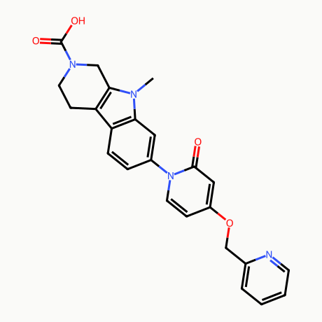 Cn1c2c(c3ccc(-n4ccc(OCc5ccccn5)cc4=O)cc31)CCN(C(=O)O)C2